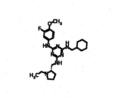 CCN1CCC[C@H]1CNc1nc(NCC2CCCCC2)nc(Nc2ccc(OC)c(F)c2)n1